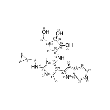 Cc1nc(NCC2CC2)nc(N[C@@H]2C[C@H](CO)[C@@H](O)[C@H]2O)c1-c1nc2cnccc2s1